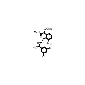 CO/N=C(/C(=O)OC)c1cccc(C)c1CONC(C)c1cc(Cl)cc(Cl)c1